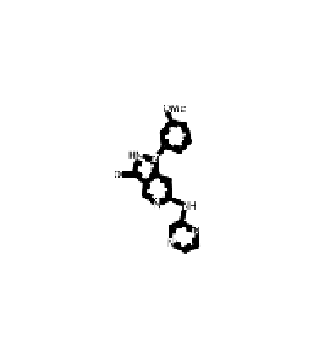 COc1cccc(-n2[nH]c(=O)c3cnc(Nc4cnccn4)cc32)c1